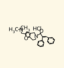 CN(C)Cc1cc2c(o1)CCN(C(=O)C(=Cc1ccccc1)c1ccccc1)C2.Cl